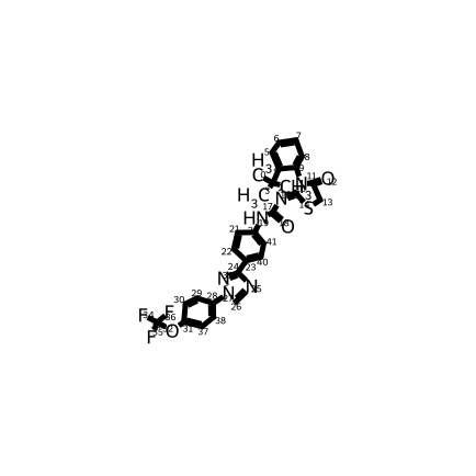 CC(C)(C)c1ccccc1N1C(=O)CS/C1=N\C(=O)Nc1ccc(-c2ncn(-c3ccc(OC(F)(F)F)cc3)n2)cc1